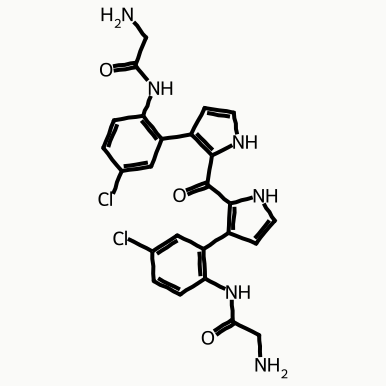 NCC(=O)Nc1ccc(Cl)cc1-c1cc[nH]c1C(=O)c1[nH]ccc1-c1cc(Cl)ccc1NC(=O)CN